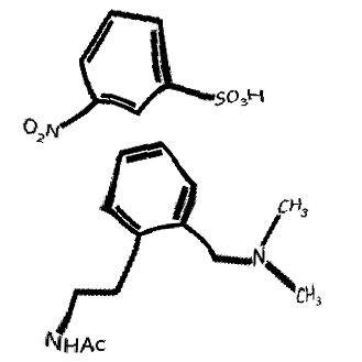 CC(=O)NCCc1ccccc1CN(C)C.O=[N+]([O-])c1cccc(S(=O)(=O)O)c1